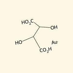 O=C(O)C(O)C(O)C(=O)O.[Au]